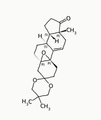 CC1(C)COC2(CC[C@]34O[C@]3(CC[C@@H]3C4=CC[C@@]4(C)C(=O)CC[C@@H]34)C2)OC1